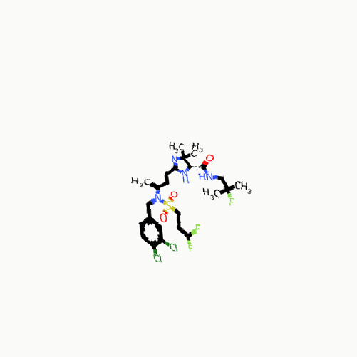 C=C(CCC1=NC(C)(C)[C@H](C(=O)NCC(C)(C)F)N1)N(Cc1ccc(Cl)c(Cl)c1)S(=O)(=O)CCC(F)F